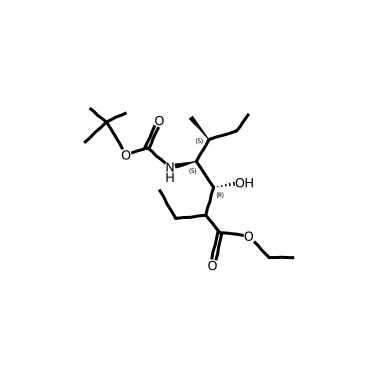 CCOC(=O)C(CC)[C@@H](O)[C@@H](NC(=O)OC(C)(C)C)[C@@H](C)CC